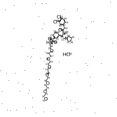 COCCOCCOCCOCCOCCOCCOCCNS(=O)(=O)c1cccc([C@@H](CN2CCCC2)N(C)C(=O)Cc2ccc(Cl)c(Cl)c2)c1.Cl